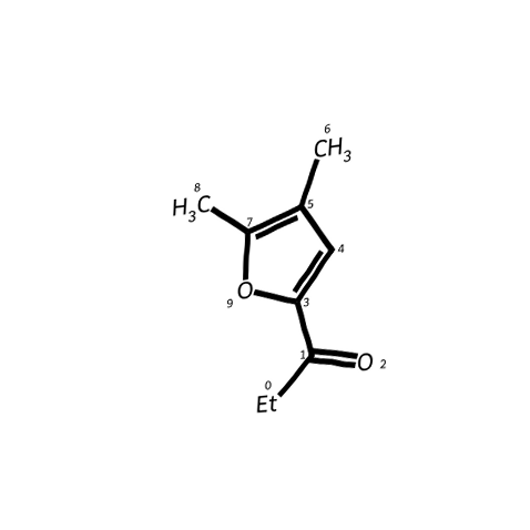 CCC(=O)c1cc(C)c(C)o1